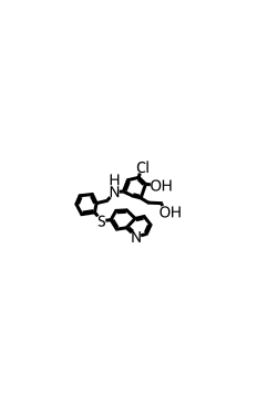 OCCc1cc(NCc2ccccc2Sc2ccc3cccnc3c2)cc(Cl)c1O